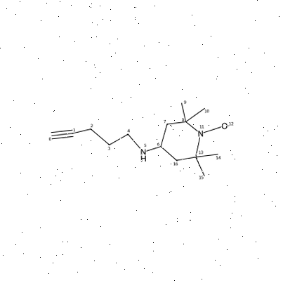 C#CCCCNC1CC(C)(C)N([O])C(C)(C)C1